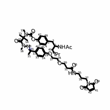 CC(=O)NC(Cc1ccc(OC(=O)N(C)C(C)(C)C(=O)N(C)/N=C(\C)c2ccc(OCCOCCC(=O)NCCCN3C(=O)C=CC3=O)cc2)cc1)CC(C)C